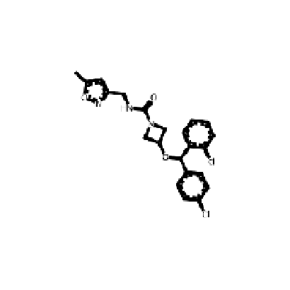 Cc1cc(CNC(=O)N2CC(OC(c3ccc(Cl)cc3)c3ccccc3Cl)C2)no1